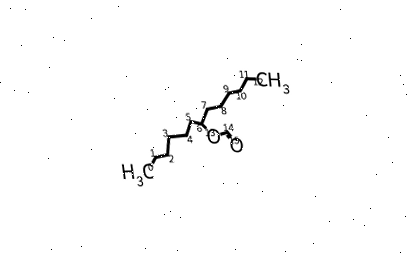 CCCCCCC(CCCCCC)OC=O